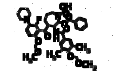 COCOc1ccc(N2CCCCC2)c(F)c1C(=O)C1CCCN(C(=O)O)C(OC(=O)c2ccccc2)C1NC(=O)c1cc(C)c(OCOC)c(C)c1